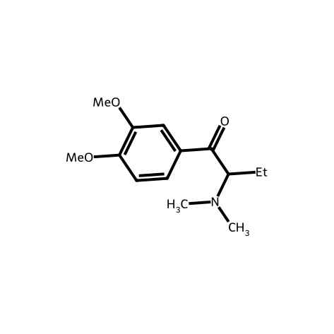 CCC(C(=O)c1ccc(OC)c(OC)c1)N(C)C